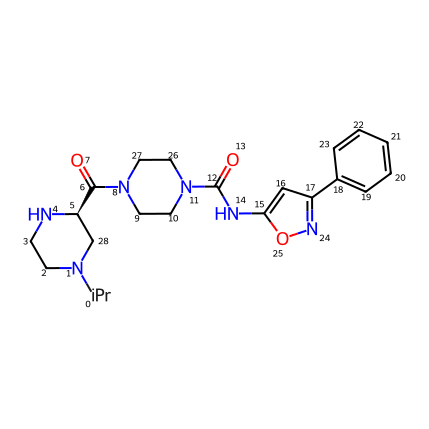 CC(C)N1CCN[C@@H](C(=O)N2CCN(C(=O)Nc3cc(-c4ccccc4)no3)CC2)C1